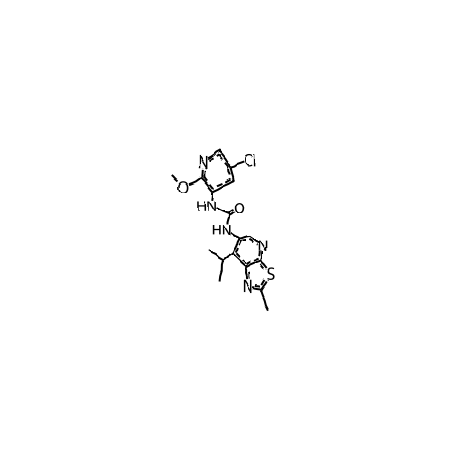 COc1ncc(Cl)cc1NC(=O)Nc1cnc2sc(C)nc2c1C(C)C